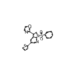 O=S(=O)(c1ccccc1)n1cc(-c2ncco2)c2cc(-c3cccs3)cnc21